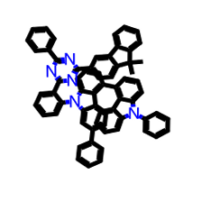 CC1(C)c2ccccc2-c2cc(-c3nc(-c4ccccc4)nc(-c4ccccc4-n4c5cc(-c6ccccc6)ccc5c5c(-c6cccc7c6c6ccccc6n7-c6ccccc6)cccc54)n3)ccc21